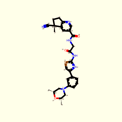 C[C@@H]1CN(c2cccc(-c3csc(NC(=O)CNC(=O)c4cnc5c(c4)[C@](C)(C#N)CC5)n3)c2)C[C@H](C)O1